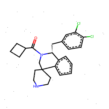 O=C(C1CCC1)N1CC2(CCNCC2)c2ccccc2[C@H]1Cc1ccc(Cl)c(Cl)c1